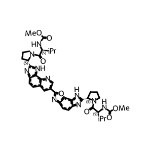 COC(=O)N[C@H](C(=O)N1CCC[C@H]1c1nc2ccc3cc(-c4nc5ccc6nc([C@@H]7CCCN7C(=O)[C@@H](NC(=O)OC)C(C)C)[nH]c6c5o4)cnc3c2[nH]1)C(C)C